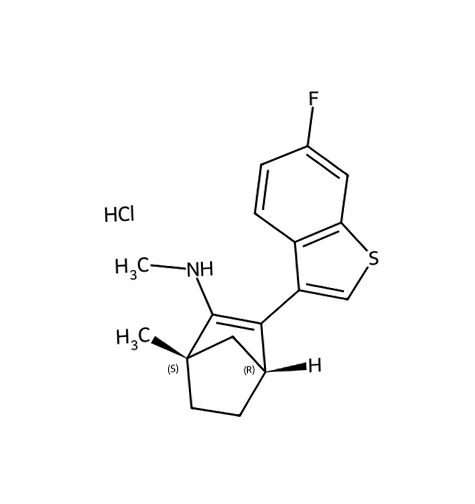 CNC1=C(c2csc3cc(F)ccc23)[C@@H]2CC[C@@]1(C)C2.Cl